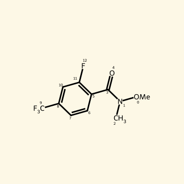 CON(C)C(=O)c1ccc(C(F)(F)F)cc1F